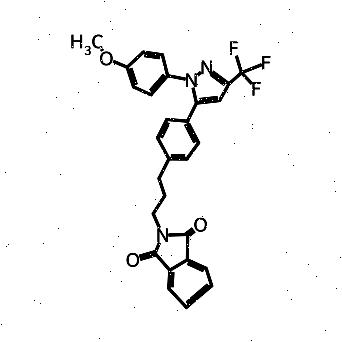 COc1ccc(-n2nc(C(F)(F)F)cc2-c2ccc(CCCN3C(=O)c4ccccc4C3=O)cc2)cc1